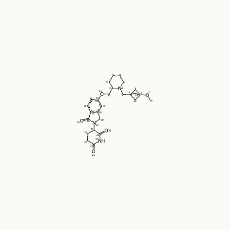 COC12CC(CN3CCCCC3COc3ccc4c(c3)CN(C3CCC(=O)NC3=O)C4=O)(C1)C2